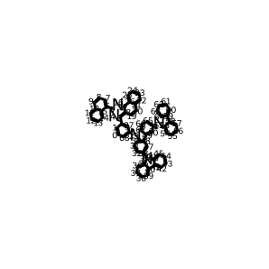 c1cc(-c2nc(-c3cccc4ccccc34)nc3c2ccc2ccccc23)cc(-n2c3ccc(-n4c5ccccc5c5ccccc54)cc3c3cc(-n4c5ccccc5c5ccccc54)ccc32)c1